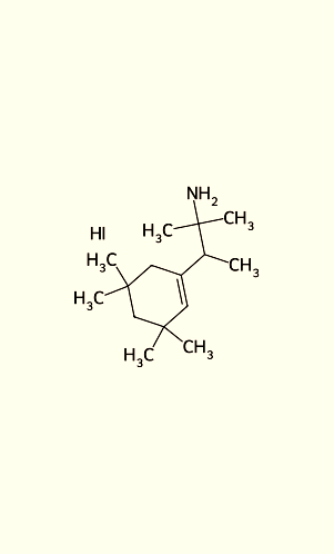 CC(C1=CC(C)(C)CC(C)(C)C1)C(C)(C)N.I